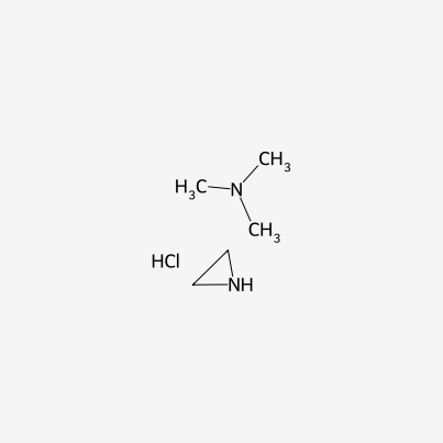 C1CN1.CN(C)C.Cl